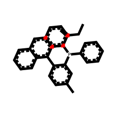 CCC(=O)Oc1ccc2ccccc2c1-c1ccc(C)cc1P(c1ccccc1)c1ccccc1